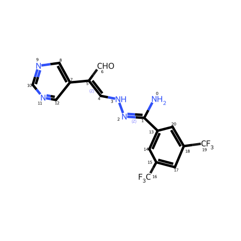 N/C(=N\N/C=C(\C=O)c1cncnc1)c1cc(C(F)(F)F)cc(C(F)(F)F)c1